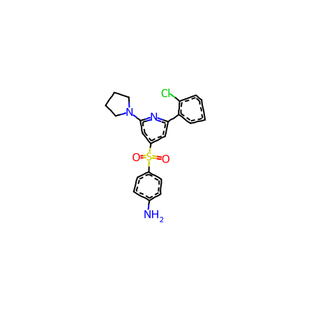 Nc1ccc(S(=O)(=O)c2cc(-c3ccccc3Cl)nc(N3CCCC3)c2)cc1